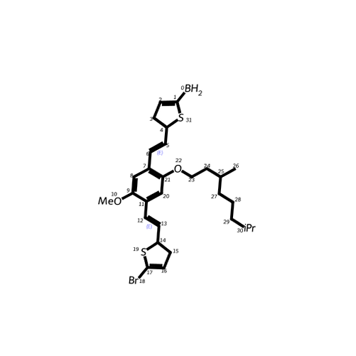 BC1=CCC(/C=C/c2cc(OC)c(/C=C/C3CC=C(Br)S3)cc2OCCC(C)CCCC(C)C)S1